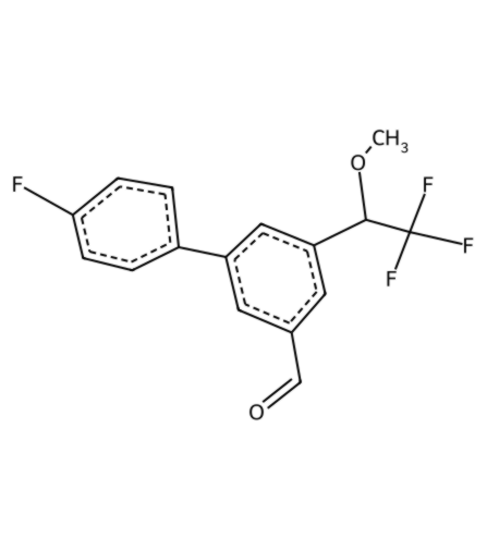 COC(c1cc(C=O)cc(-c2ccc(F)cc2)c1)C(F)(F)F